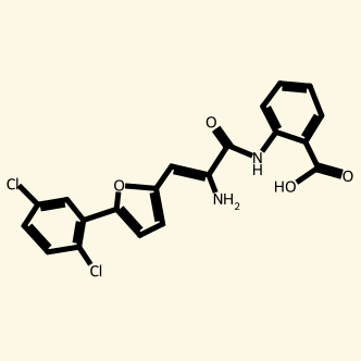 N/C(=C\c1ccc(-c2cc(Cl)ccc2Cl)o1)C(=O)Nc1ccccc1C(=O)O